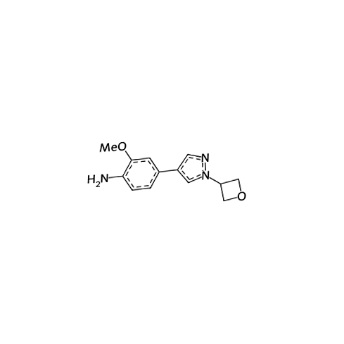 COc1cc(-c2cnn(C3COC3)c2)ccc1N